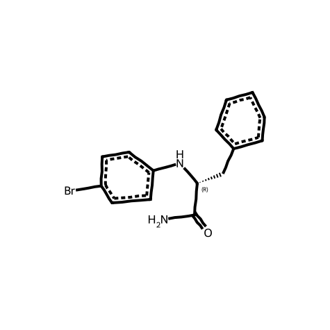 NC(=O)[C@@H](Cc1ccccc1)Nc1ccc(Br)cc1